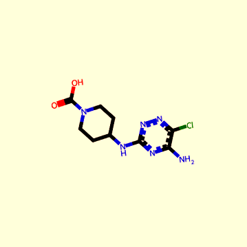 Nc1nc(NC2CCN(C(=O)O)CC2)nnc1Cl